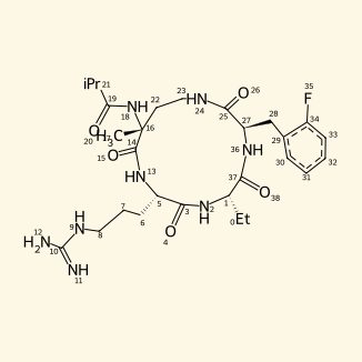 CC[C@@H]1NC(=O)[C@H](CCCNC(=N)N)NC(=O)[C@](C)(NC(=O)C(C)C)CCNC(=O)[C@@H](Cc2ccccc2F)NC1=O